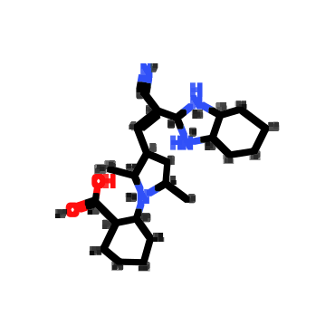 CC1CC(/C=C(/C#N)C2NC3CCCCC3N2)C(C)N1C1CCCCC1C(=O)O